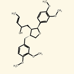 C/C=C/C(O)C[C@@H]1[C@@H](Cc2ccc(OC)c(OC)c2)CO[C@@H]1c1ccc(OC)c(OC)c1